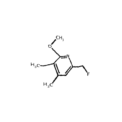 COc1nc(CF)cc(C)c1C